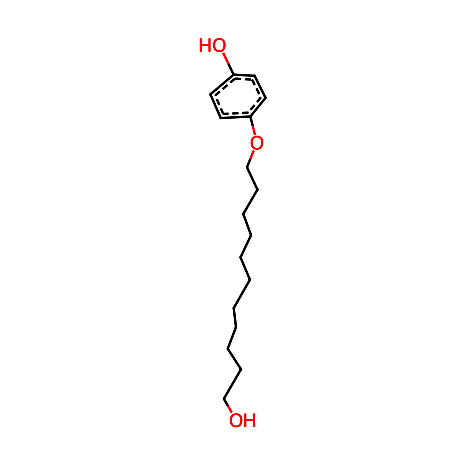 OCCCCCCCCCCCOc1ccc(O)cc1